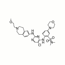 COCCN1CCc2ccc(Nc3ncc(Cl)c(Nc4ccc(N5CCOCC5)cc4S(=O)(=O)N(C)C)n3)cc2CC1